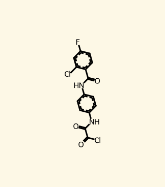 O=C(Cl)C(=O)Nc1ccc(NC(=O)c2ccc(F)cc2Cl)cc1